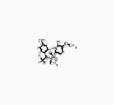 COC1=CC=C(S(=O)(=O)N(C)[C@H](c2ccc(Cl)cc2)C(F)(F)F)NN1